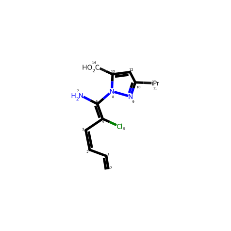 C=C/C=C\C(Cl)=C(/N)n1nc(C(C)C)cc1C(=O)O